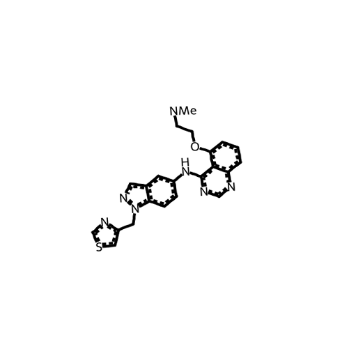 CNCCOc1cccc2ncnc(Nc3ccc4c(cnn4Cc4cscn4)c3)c12